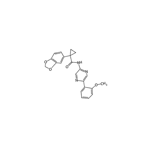 COc1ccccc1-c1cnc(NC(=O)C2(c3ccc4c(c3)OCO4)CC2)cn1